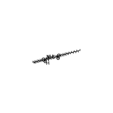 CCCCCCCCCCCCCCCCOC(=O)CCSCCCC(=N)NCC(=O)OCCCCCCCC